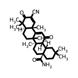 CC1(C)CC[C@]2(C(N)=O)CC[C@]3(C)[C@H](C(=O)C=C4C3(C)CC[C@H]3C(C)(C)C(=O)C(C#N)=C[C@]43C)[C@@H]2C1